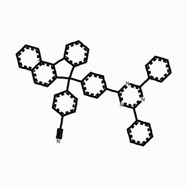 N#Cc1ccc(C2(c3ccc(-c4nc(-c5ccccc5)nc(-c5ccccc5)n4)cc3)c3ccccc3-c3c2ccc2ccccc32)cc1